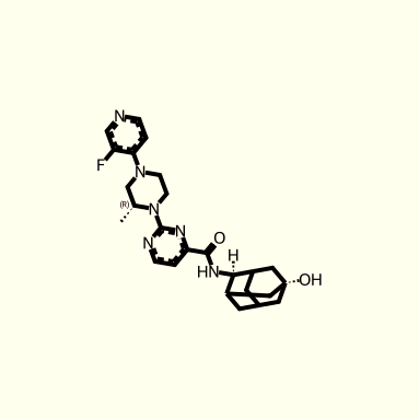 C[C@@H]1CN(c2ccncc2F)CCN1c1nccc(C(=O)N[C@H]2C3CC4CC2C[C@](O)(C4)C3)n1